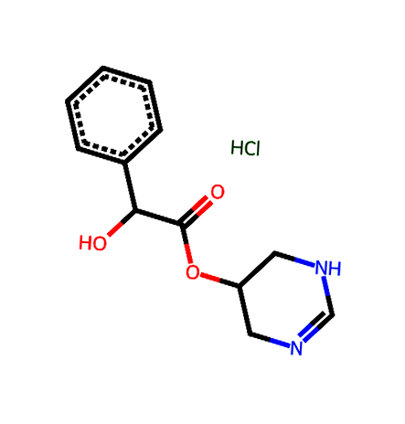 Cl.O=C(OC1CN=CNC1)C(O)c1ccccc1